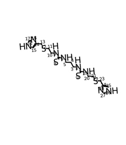 S=C(NCCCNC(=S)NCCSCc1c[nH]cn1)NCCSCc1c[nH]cn1